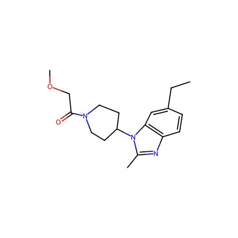 CCc1ccc2nc(C)n(C3CCN(C(=O)COC)CC3)c2c1